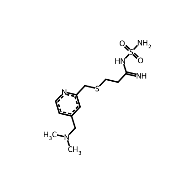 CN(C)Cc1ccnc(CSCCC(=N)NS(N)(=O)=O)c1